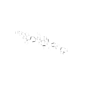 O=C(c1ccc(Nc2nccn3c(-c4cn(Cc5cncnc5)nc4C(F)(F)F)cnc23)cc1Cl)N1CCNCC1